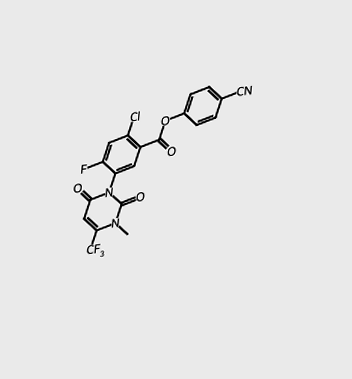 Cn1c(C(F)(F)F)cc(=O)n(-c2cc(C(=O)Oc3ccc(C#N)cc3)c(Cl)cc2F)c1=O